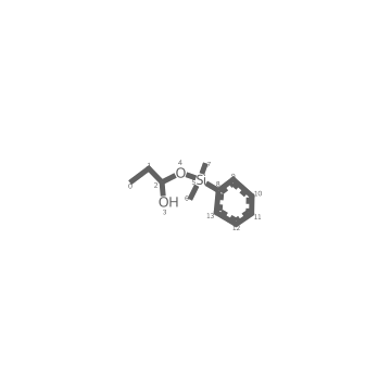 CCC(O)O[Si](C)(C)c1ccccc1